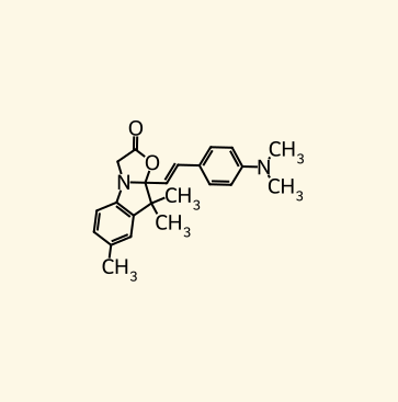 Cc1ccc2c(c1)C(C)(C)C1(/C=C/c3ccc(N(C)C)cc3)OC(=O)CN21